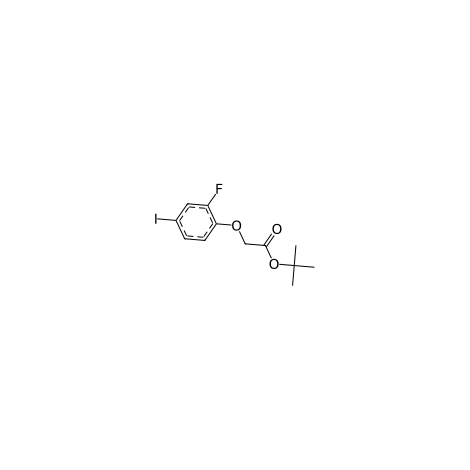 CC(C)(C)OC(=O)COc1ccc(I)cc1F